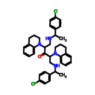 CC(NCC(C(=O)C(CNC(C)c1ccc(Cl)cc1)N1CCCc2ccccc21)N1CCCc2ccccc21)c1ccc(Cl)cc1